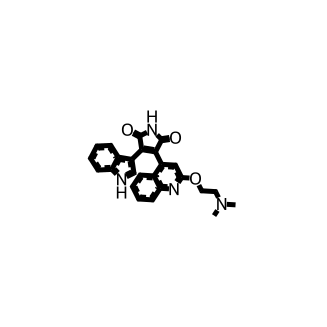 CN(C)CCOc1cc(C2=C(c3c[nH]c4ccccc34)C(=O)NC2=O)c2ccccc2n1